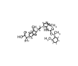 Cc1ccccc1C(C)OC(=O)Nc1c(C#Cc2sc3cc(C4(C(=O)O)CC4)sc3c2C)cnn1C